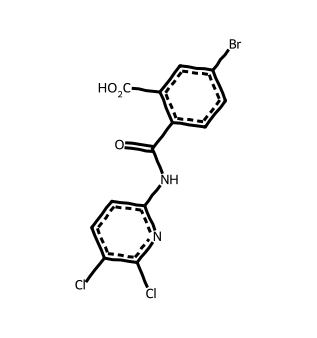 O=C(O)c1cc(Br)ccc1C(=O)Nc1ccc(Cl)c(Cl)n1